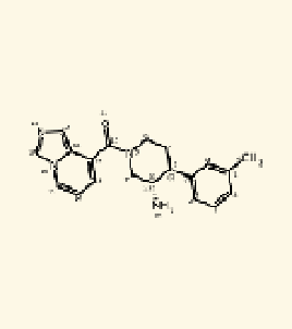 Cc1cccc([C@@H]2CCN(C(=O)c3cccn4cncc34)C[C@H]2N)c1